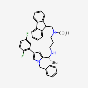 CC(C)(C)[C@@H](NCCCN(CC1c2ccccc2-c2ccccc21)C(=O)O)c1cc(-c2cc(F)ccc2F)cn1Cc1ccccc1